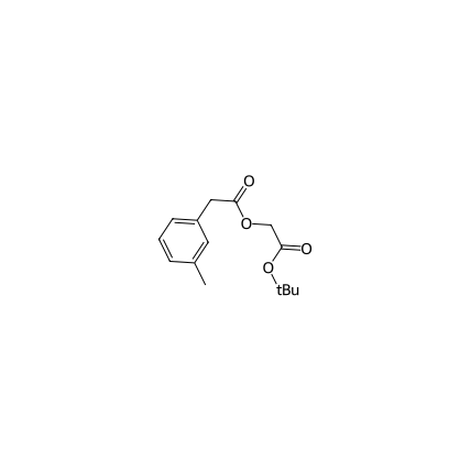 Cc1cccc(CC(=O)OCC(=O)OC(C)(C)C)c1